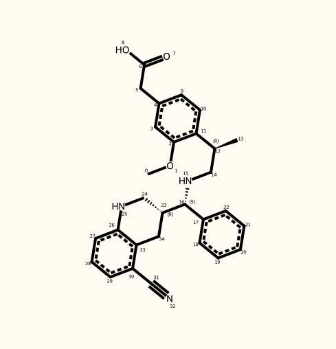 COc1cc(CC(=O)O)ccc1[C@@H](C)CN[C@H](c1ccccc1)[C@H]1CNc2cccc(C#N)c2C1